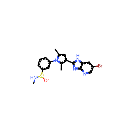 CN[S+]([O-])c1cccc(-n2c(C)cc(-c3nc4ncc(Br)cc4[nH]3)c2C)c1